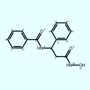 O=C(CC(NC(=O)c1ccccc1)c1ccccc1)NO